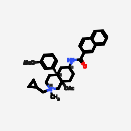 COc1cccc([C@@]23CC[N@+](C)(CC4CC4)CC2(OC(C)=O)CC[C@H](NC(=O)c2ccc4ccccc4c2)C3)c1